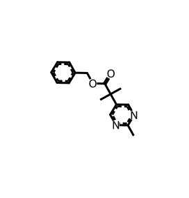 Cc1ncc(C(C)(C)C(=O)OCc2ccccc2)cn1